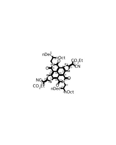 CCCCCCCCCCC(CCCCCCCC)Cn1c(=O)c2c3sc(=C(C#N)C(=O)OCC)sc3c3c(=O)n(CC(CCCCCCCC)CCCCCCCCCC)c(=O)c4c5sc(=C(C#N)C(=O)OCC)sc5c(c1=O)c2c34